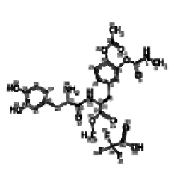 CNC(=O)Oc1cc(C[C@H](NC(=O)C(N)Cc2ccc(O)c(O)c2)C(=O)OC)ccc1OC(C)=O.O=C(O)C(F)(F)F